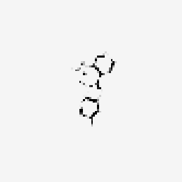 Cc1cnc2c(c1)nc(-c1ccncc1S(N)(=O)=O)n2C